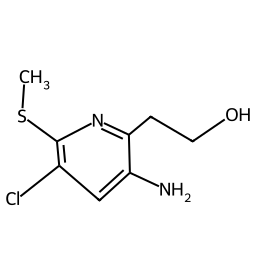 CSc1nc(CCO)c(N)cc1Cl